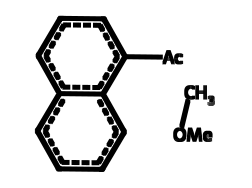 CC(=O)c1cccc2ccccc12.COC